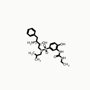 CCNC(=O)Nc1cc(S(=O)(=O)N(CC(C)C)C[C@@H](O)[C@@H](N)Cc2ccccc2)ccc1O